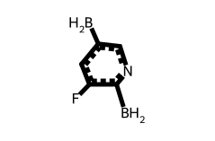 Bc1cnc(B)c(F)c1